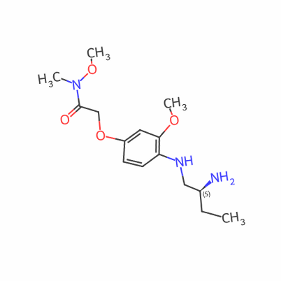 CC[C@H](N)CNc1ccc(OCC(=O)N(C)OC)cc1OC